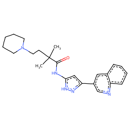 CC(C)(CCN1CCCCC1)C(=O)Nc1cc(-c2cnc3ccccc3c2)n[nH]1